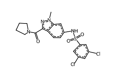 Cn1nc(C(=O)N2CCCC2)c2ccc(NS(=O)(=O)c3cc(Cl)cc(Cl)c3)cc21